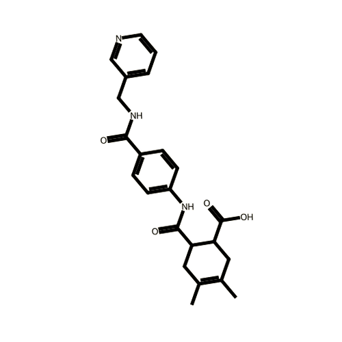 CC1=C(C)CC(C(=O)Nc2ccc(C(=O)NCc3cccnc3)cc2)C(C(=O)O)C1